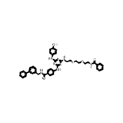 O=C(NCCOCCOCCNc1nc(Nc2ccc(O)cc2)nc(Nc2ccc(C(=O)NCc3cccc(-c4ccccc4)c3)cc2)n1)c1ccccc1